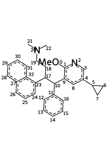 COc1ncc(C2CC2)cc1C(c1ccccc1)C(CCN(C)C)c1cccc2ccccc12